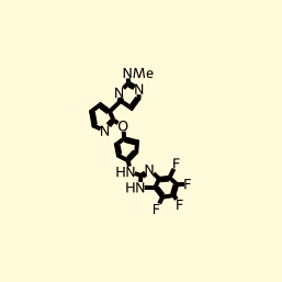 CNc1nccc(-c2cccnc2Oc2ccc(Nc3nc4c(F)c(F)c(F)c(F)c4[nH]3)cc2)n1